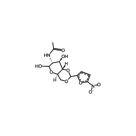 CC(=O)N[C@H]1C(O)O[C@@H]2COC(c3ccc([N+](=O)[O-])o3)O[C@H]2[C@@H]1O